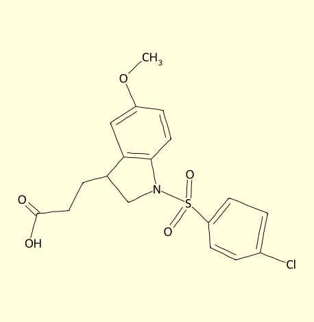 COc1ccc2c(c1)C(CCC(=O)O)CN2S(=O)(=O)c1ccc(Cl)cc1